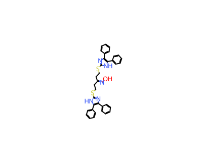 ON=C(CCSc1nc(-c2ccccc2)c(-c2ccccc2)[nH]1)CCSc1nc(-c2ccccc2)c(-c2ccccc2)[nH]1